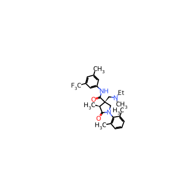 CCN(C)C[C@@]1(C(=O)Nc2cc(C)cc(C(F)(F)F)c2)CN(c2c(C)cccc2C)C(=O)[C@H]1C